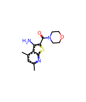 Cc1cc(C)c2c(N)c(C(=O)N3CCOCC3)sc2n1